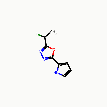 CC(F)c1nnc(-c2ccc[nH]2)o1